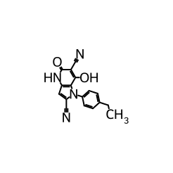 CCc1ccc(-n2c(C#N)cc3[nH]c(=O)c(C#N)c(O)c32)cc1